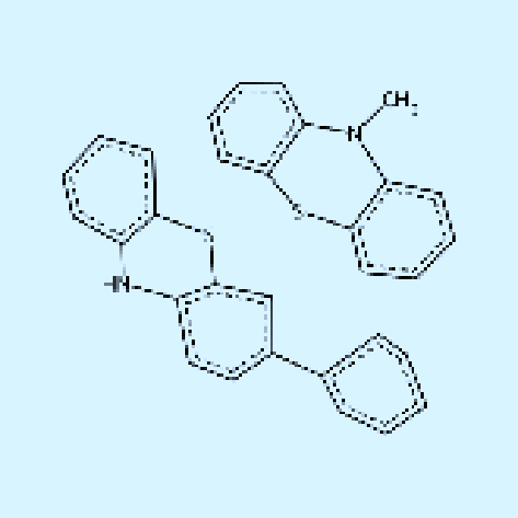 CN1c2ccccc2Sc2ccccc21.c1ccc(-c2ccc3c(c2)Sc2ccccc2N3)cc1